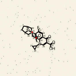 CC(=O)CCN1C2CCC1CN(c1cc3c(cc1F)c(=O)c(C(=O)O)cn3C1CC1)C2